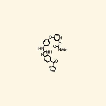 CNC(=O)Oc1cc(Oc2ccc(Nc3nc4ccc(C(=O)c5cccs5)cc4[nH]3)cc2)ccn1